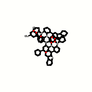 CC(C)(C)c1cc(-c2ccc3c(c2)N(c2c(-c4ccc5sc6ccccc6c5c4)cccc2-n2c4ccccc4c4ccccc42)c2cc(C(C)(C)C)cc4c2B3c2cc(-c3ccccc3)ccc2N4c2c(-c3cccc4c3sc3ccccc34)cccc2-n2c3ccccc3c3ccccc32)cc(C(C)(C)C)c1